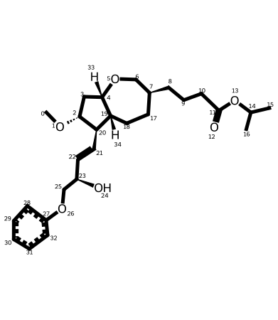 CO[C@@H]1C[C@@H]2OC[C@@H](CCCC(=O)OC(C)C)CC[C@@H]2[C@H]1C=C[C@@H](O)COc1ccccc1